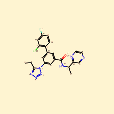 CCc1nnnn1-c1cc(C(=O)NC(C)c2cnccn2)cc(-c2ccc(F)cc2Cl)c1